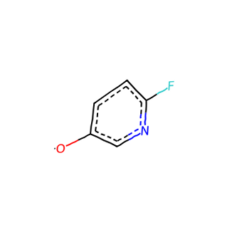 [O]c1ccc(F)nc1